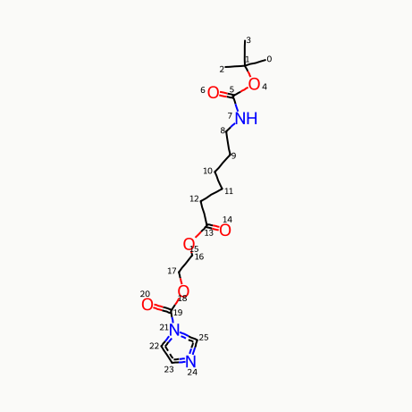 CC(C)(C)OC(=O)NCCCCCC(=O)OCCOC(=O)n1ccnc1